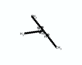 CCCCCCCCCCCCCCCNC(=O)CCNCCCN(CCC(=O)NCCCCCCCCCCCCCCC)CCC(=O)NCCCCCCCCCCCCCCC